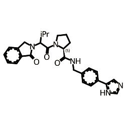 CC(C)C(C(=O)N1CCC[C@H]1C(=O)NCc1ccc(-c2cnc[nH]2)cc1)N1Cc2ccccc2C1=O